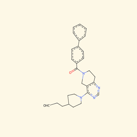 O=CCCC1CCN(c2ncnc3c2CN(C(=O)c2ccc(-c4ccccc4)cc2)CC3)CC1